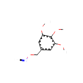 C=NOCc1cc(OC)c(OC)c(OC)c1